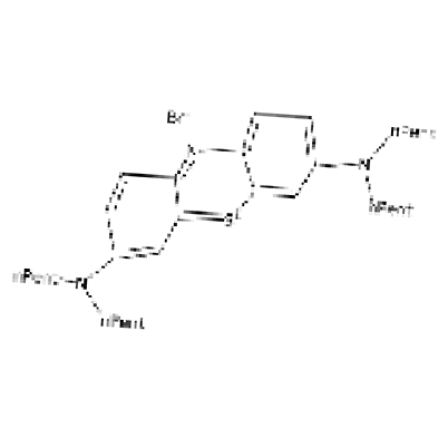 CCCCCN(CCCCC)c1ccc2nc3ccc(N(CCCCC)CCCCC)cc3[s+]c2c1.[Br-]